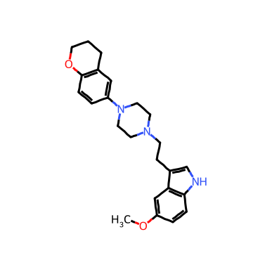 COc1ccc2[nH]cc(CCN3CCN(c4ccc5c(c4)CCCO5)CC3)c2c1